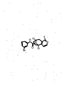 O=C(Nc1cccc(Br)c1)N1[C@@H]2CC[C@H]1c1ccnc(F)c1C2